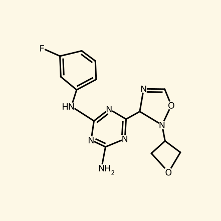 Nc1nc(Nc2cccc(F)c2)nc(C2N=CON2C2COC2)n1